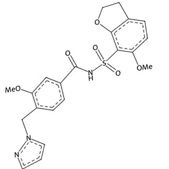 COc1cc(C(=O)NS(=O)(=O)c2c(OC)ccc3c2OCC3)ccc1Cn1cccn1